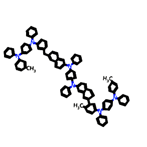 Cc1ccc(N(c2ccccc2)c2ccc(N(c3ccccc3)c3ccc(C)c(-c4ccc5ccc(N(c6ccccc6)c6ccc(N(c7ccccc7)c7ccc8cc(Cc9cccc(N(c%10ccccc%10)c%10ccc(N(c%11ccccc%11)c%11cccc(C)c%11)cc%10)c9)ccc8c7)cc6)cc5c4)c3)cc2)cc1